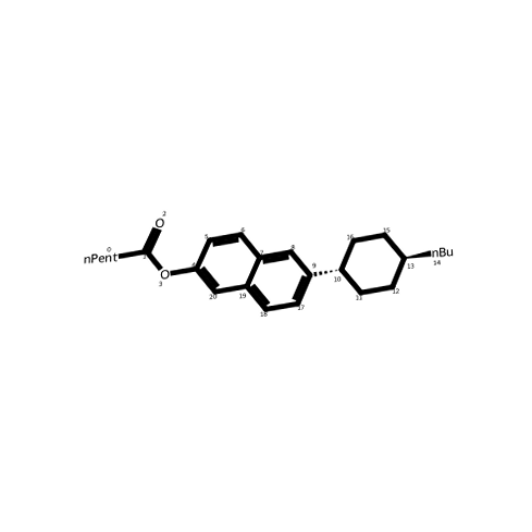 CCCCCC(=O)Oc1ccc2cc([C@H]3CC[C@H](CCCC)CC3)ccc2c1